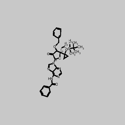 CC[C@]1(C2(O[Si](C)(C)C(C)(C)C)CC2)O[C@@H](n2cnc3c(NC(=O)c4ccccc4)ncnc32)C(=O)C1OCc1ccccc1